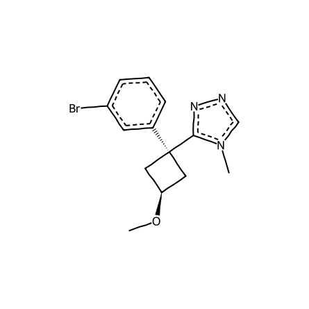 CO[C@H]1C[C@@](c2cccc(Br)c2)(c2nncn2C)C1